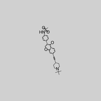 CC(C)(C)N1CCC(C#Cc2ccc3c(=O)c(-c4ccc(NS(C)(=O)=O)cc4)coc3c2)CC1